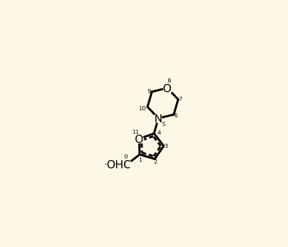 O=[C]c1ccc(N2CCOCC2)o1